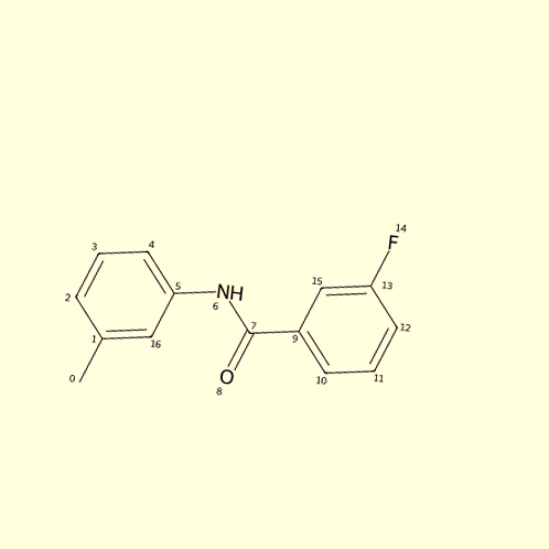 Cc1cccc(NC(=O)c2cccc(F)c2)c1